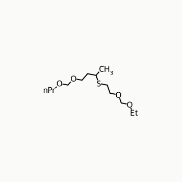 CCCOCOCCC(C)SCCOCOCC